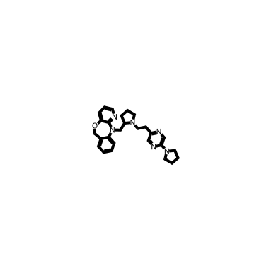 c1ccc2c(c1)COc1cccnc1N2CC1CCCN1CCc1cnc(N2CCCC2)cn1